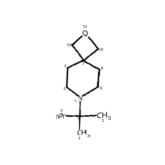 CCCC(C)(C)N1CCC2(CC1)COC2